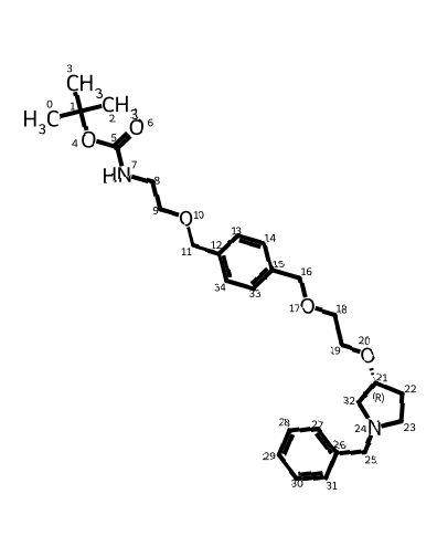 CC(C)(C)OC(=O)NCCOCc1ccc(COCCO[C@@H]2CCN(Cc3ccccc3)C2)cc1